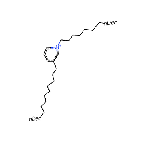 CCCCCCCCCCCCCCCCCCCc1ccc[n+](CCCCCCCCCCCCCCCCC)c1